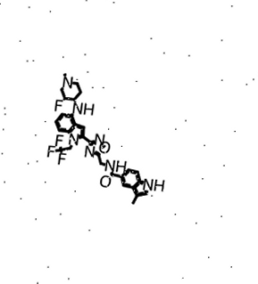 Cc1c[nH]c2ccc(C(=O)NCc3nc(-c4cc5c(N[C@@H]6CCN(C)C[C@@H]6F)cccc5n4CC(F)(F)F)no3)cc12